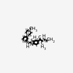 C=NN/C(C)=C(\C)c1ccc2nc(Nc3cc(N4CCN(C)CC4)ccn3)sc2c1